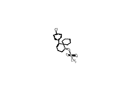 CS(=O)(=O)ON1CCC=C(c2ccc(Cl)cc2)C12CCCCC2